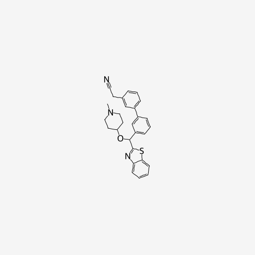 CN1CCC(OC(c2cccc(-c3cccc(CC#N)c3)c2)c2nc3ccccc3s2)CC1